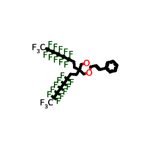 FC(F)(F)C(F)(F)C(F)(F)C(F)(F)C(F)(F)C(F)(F)CCC1(CCC(F)(F)C(F)(F)C(F)(F)C(F)(F)C(F)(F)C(F)(F)F)COC(/C=C/c2ccccc2)OC1